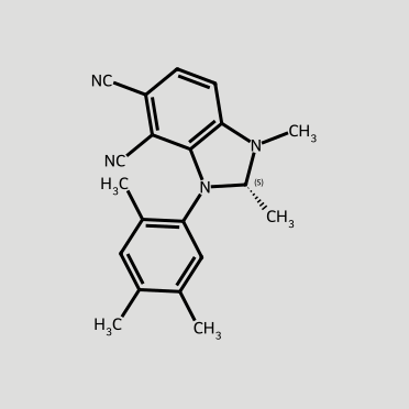 Cc1cc(C)c(N2c3c(ccc(C#N)c3C#N)N(C)[C@@H]2C)cc1C